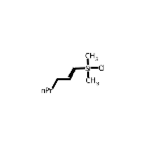 CCCCC=C[Si](C)(C)Cl